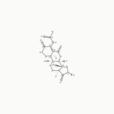 C=C1C[C@@H]2[C@@H](CC[C@]3(C)C(=O)C(F)C[C@@H]23)[C@@]2(C)CCC(=O)C(OC(C)=O)=C12